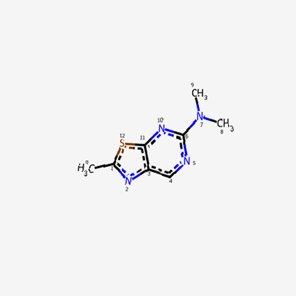 Cc1nc2cnc(N(C)C)nc2s1